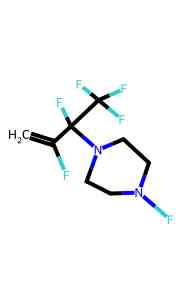 C=C(F)C(F)(N1CCN(F)CC1)C(F)(F)F